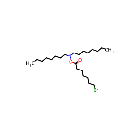 CCCCCCCCN(CCCCCCCC)OC(=O)CCCCCCBr